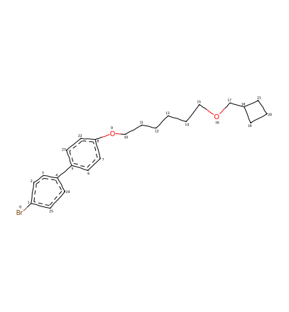 Brc1ccc(-c2ccc(OCCCCCCOCC3CCC3)cc2)cc1